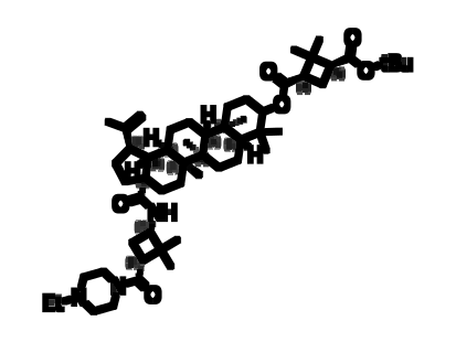 C=C(C)[C@@H]1CC[C@]2(C(=O)N[C@H]3C[C@@H](C(=O)N4CCN(CC)CC4)C3(C)C)CC[C@]3(C)[C@H](CC[C@@H]4[C@@]5(C)CCC(OC(=O)[C@@H]6C[C@H](C(=O)OC(C)(C)C)C6(C)C)C(C)(C)[C@@H]5CC[C@]43C)[C@@H]12